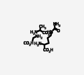 CC(N)C(=O)O.NC(=O)NCCCC(N)C(=O)O.NCC(=O)O